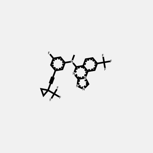 CN(c1cc(F)cc(C#CC2(C(F)(F)F)CC2)c1)c1nc2nncn2c2cc(C(F)(F)F)ccc12